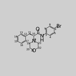 O=C(Nc1ccc(Br)cc1)[C@H](Cc1ccccc1)N1CCOCC1